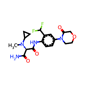 CN(C1CC1)[C@H](C(N)=O)C(=O)Nc1ccc(N2CCOCC2=O)cc1C(F)F